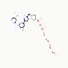 Cc1cc(Nc2cc(C(F)F)ccn2)nc(-c2ccc([C@](C)(O)[C@H]3CC[C@H](C(=O)OCOC(=O)OCCOCCOCCOCCO)CC3)nc2)c1